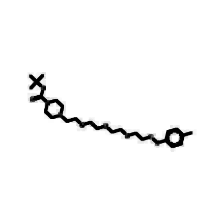 Cc1ccc(SOCCOCCOCCOCCN2CCN(C(=O)OC(C)(C)C)CC2)cc1